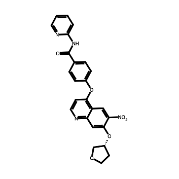 O=C(Nc1ccccn1)c1ccc(Oc2ccnc3cc(O[C@@H]4CCOC4)c([N+](=O)[O-])cc23)cc1